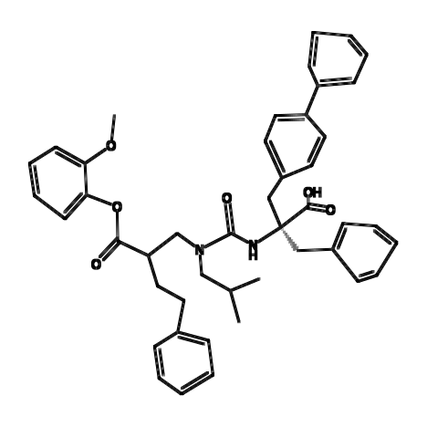 COc1ccccc1OC(=O)C(CCc1ccccc1)CN(CC(C)C)C(=O)N[C@@](Cc1ccccc1)(Cc1ccc(-c2ccccc2)cc1)C(=O)O